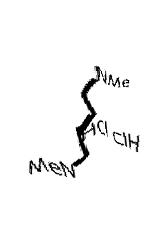 CNC/C=C/CNC.Cl.Cl